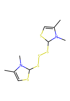 CC1=CSC(SSSC2SC=C(C)N2C)N1C